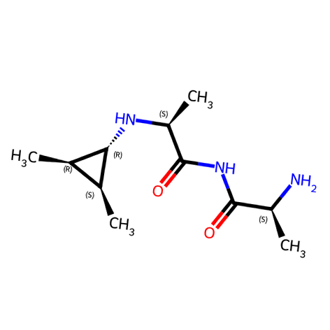 C[C@@H]1[C@H](C)[C@H]1N[C@@H](C)C(=O)NC(=O)[C@H](C)N